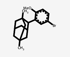 COc1ccc(Br)cc1C1C2CC3CC(C)(C2)CC1(C)C3